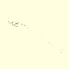 CC(C)CCC[C@@H](C)[C@H]1CC[C@H]2[C@@H]3CC=C4C[C@@H](OC(=O)NCCOCCOCCOCCOCCOCCOCCOCCN(C(=O)O)C(C)(C)C)CC[C@]4(C)[C@H]3CC[C@]12C